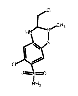 CN1Sc2cc(S(N)(=O)=O)c(Cl)cc2NC1CCl